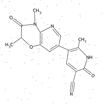 Cc1[nH]c(=O)c(C#N)cc1-c1cnc2c(c1)OC(C)C(=O)N2C